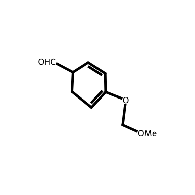 COCOC1=CCC(C=O)C=C1